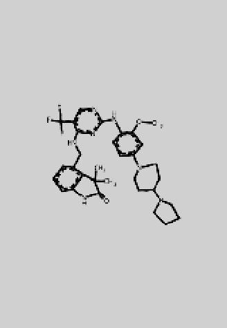 COc1cc(N2CCC(N3CCCC3)CC2)ccc1Nc1ncc(C(F)(F)F)c(NCc2cccc3c2C(C)(C)C(=O)N3)n1